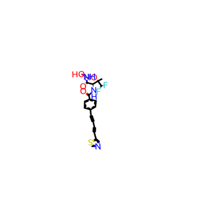 CC(O)(C(F)F)[C@H](NC(=O)c1ccc(C#CC#Cc2cncs2)cc1)C(=O)NO